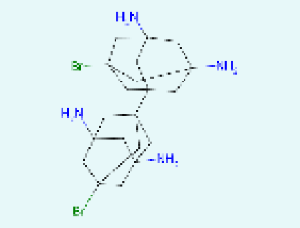 NC12CC3(N)CC(Br)(C1)CC(C14CC5(N)CC(N)(CC(Br)(C5)C1)C4)(C2)C3